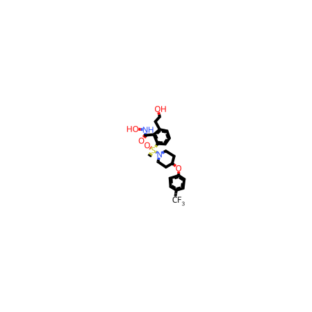 C=S(=O)(c1cccc(CCO)c1C(=O)NO)N1CCC(Oc2ccc(C(F)(F)F)cc2)CC1